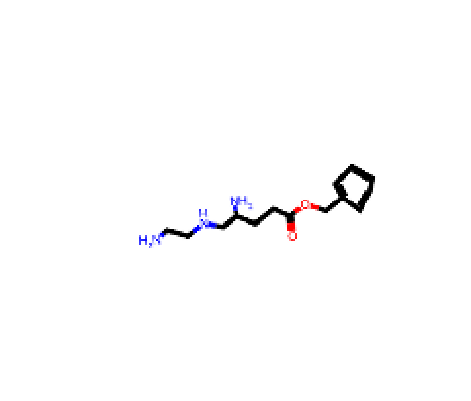 NCCNCC(N)CCC(=O)OCc1ccccc1